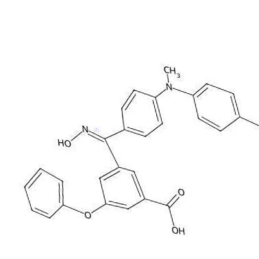 CN(c1ccc(Cl)cc1)c1ccc(/C(=N/O)c2cc(Oc3ccccc3)cc(C(=O)O)c2)cc1